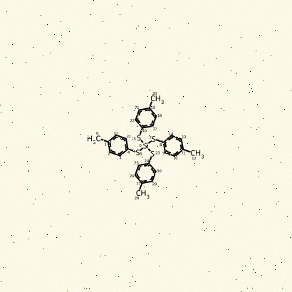 Cc1ccc(S[Si](Sc2ccc(C)cc2)(Sc2ccc(C)cc2)Sc2ccc(C)cc2)cc1